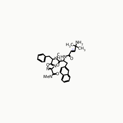 CNC(=O)c1noc(C(Cc2ccccc2)N(C)C(=O)C(Cc2ccc3ccccc3c2)NC(=O)/C=C/C(C)(C)N)n1